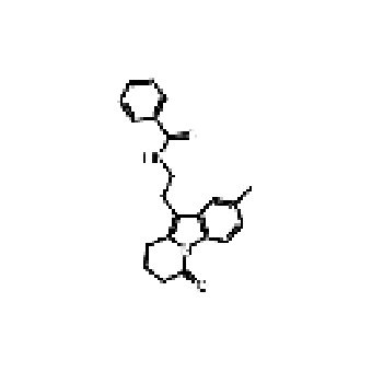 Cc1ccc2c(c1)c(CCNC(=O)c1ccccc1)c1n2C(=O)CCC1